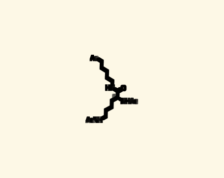 CC(=O)CCCCCNC(=O)[C@H](CCCCNC(C)=O)NC(C)=O